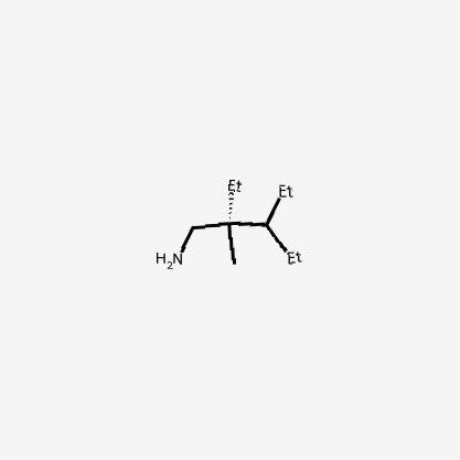 CCC(CC)[C@](C)(CC)CN